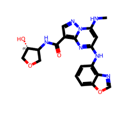 CNc1cc(Nc2cccc3ocnc23)nc2c(C(=O)NC3COC[C@@H]3O)cnn12